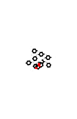 Cc1cc(C)c(N2c3cc4c(cc3B3c5sc6ccccc6c5Oc5cc(C)cc2c53)B2c3cc5c(cc3Oc3cc(C)cc(c32)O4)Nc2cc(C)cc3c2B5c2sc4ccccc4c2N3c2ccccc2)c(C)c1